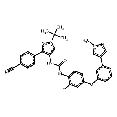 Cn1cc(-c2cc(Oc3ccc(NC(=O)Nc4cn(C(C)(C)C)nc4-c4ccc(C#N)cc4)c(F)c3)ccn2)cn1